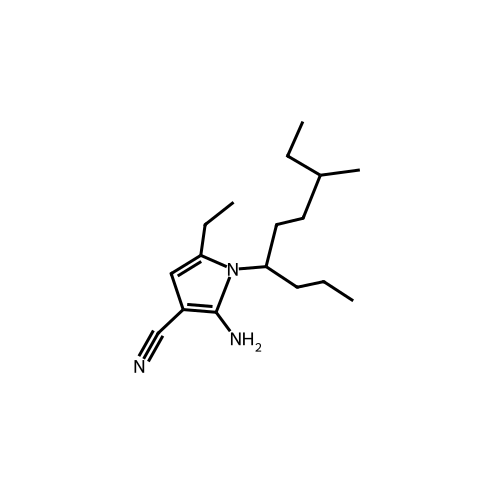 CCCC(CCC(C)CC)n1c(CC)cc(C#N)c1N